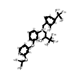 OC(CN(Cc1ccc(C(F)(F)F)cc1F)c1cccc(Oc2ccnc(OC(F)F)c2)c1)C(F)(F)F